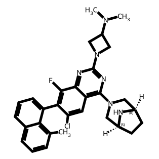 Cc1cccc2cccc(-c3c(Cl)cc4c(N5C[C@H]6CC[C@@H](C5)N6)nc(N5CC(N(C)C)C5)nc4c3F)c12